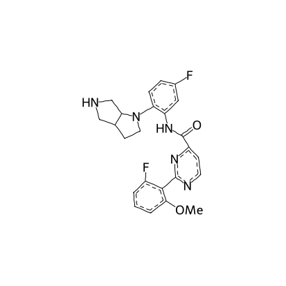 COc1cccc(F)c1-c1nccc(C(=O)Nc2cc(F)ccc2N2CCC3CNCC32)n1